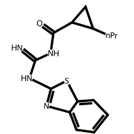 CCCC1CC1C(=O)NC(=N)Nc1nc2ccccc2s1